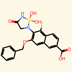 O=C1CN(c2c(OCc3ccccc3)cc3cc(C(=O)O)ccc3c2F)S(O)(O)N1